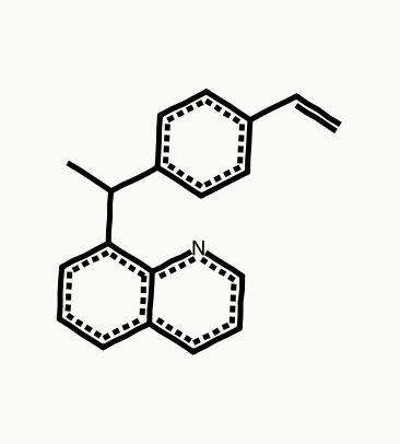 C=Cc1ccc(C(C)c2cccc3cccnc23)cc1